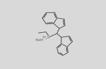 CC[SiH2]C(C1C=Cc2ccccc21)C1C=Cc2ccccc21.[NaH]